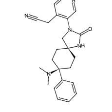 CN(C)[C@]1(c2ccccc2)CC[C@@]2(CC1)CN(c1cnccc1CC#N)C(=O)N2